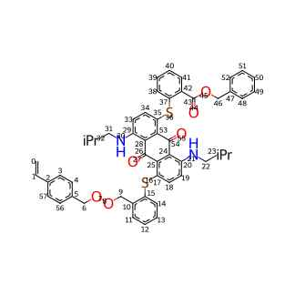 C=Cc1ccc(COOCc2ccccc2Sc2ccc(NCC(C)C)c3c2C(=O)c2c(NCC(C)C)ccc(Sc4ccccc4C(=O)OCc4ccccc4)c2C3=O)cc1